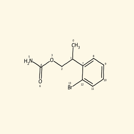 CC(COC(N)=O)c1ccccc1Br